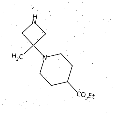 CCOC(=O)C1CCN(C2(C)CNC2)CC1